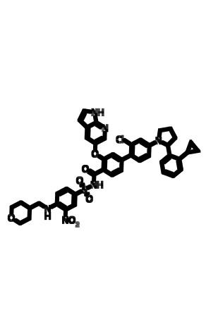 O=C(NS(=O)(=O)c1ccc(NCC2CCOCC2)c([N+](=O)[O-])c1)c1ccc(-c2ccc(N3CCCC3c3ccccc3C3CC3)cc2Cl)cc1Oc1cnc2[nH]ccc2c1